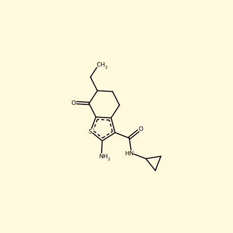 CCC1CCc2c(sc(N)c2C(=O)NC2CC2)C1=O